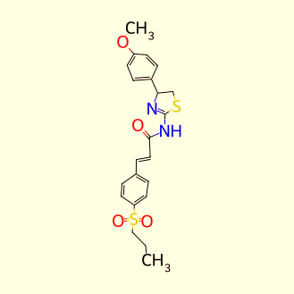 CCCS(=O)(=O)c1ccc(/C=C/C(=O)NC2=NC(c3ccc(OC)cc3)CS2)cc1